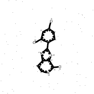 Clc1ccc(-c2nc3ccnc(Cl)c3s2)c(Cl)c1